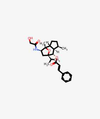 CC(C)[C@@]12C[C@@H](NC(=O)CO)[C@@](C)(O1)[C@@H]1CC[C@@H](C)[C@H]1[C@@H]2OC(=O)/C=C/c1ccccc1